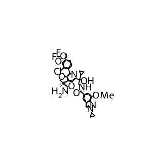 COc1cc(C(=O)NCC(O)(c2cc3c(c(-c4ccc5c(c4Cl)OC(F)(F)O5)n2)OC[C@]3(C)C(N)=O)C2CC2)cc2cn(C3CC3)nc12